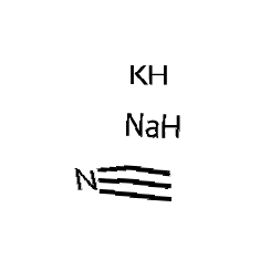 C#N.[KH].[NaH]